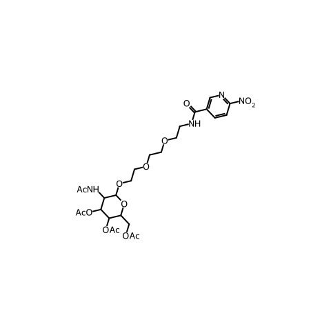 CC(=O)NC1C(OCCOCCOCCNC(=O)c2ccc([N+](=O)[O-])nc2)OC(COC(C)=O)C(OC(C)=O)C1OC(C)=O